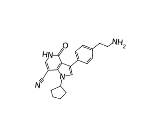 N#Cc1c[nH]c(=O)c2c(-c3ccc(CCN)cc3)cn(C3CCCC3)c12